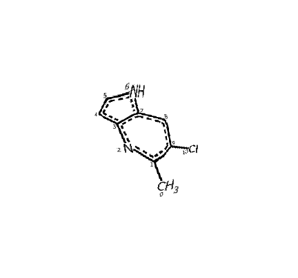 Cc1nc2cc[nH]c2cc1Cl